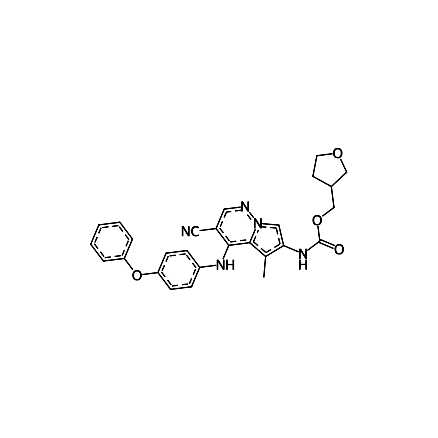 Cc1c(NC(=O)OCC2CCOC2)cn2ncc(C#N)c(Nc3ccc(Oc4ccccc4)cc3)c12